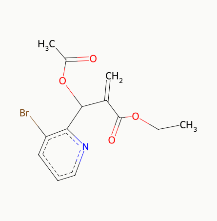 C=C(C(=O)OCC)C(OC(C)=O)c1ncccc1Br